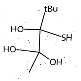 CC(C)(C)C(O)(S)C(C)(O)O